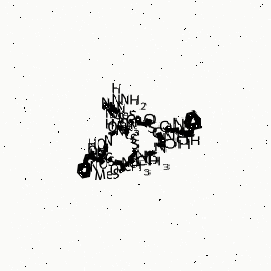 CSCC1C(=O)SCC(NC(=O)c2nc3ccccc3cc2O)C(O)=NCC(=O)N(C)C2CSSCC(C(=O)N1C)N(C)C(=O)CN=C(O)C(NC(=O)c1nc3ccccc3cc1O)CSC(=O)C(CSC)N(C)C2=O.Nc1nc(=S)c2[nH]cnc2[nH]1